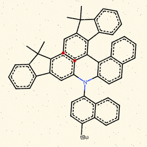 CC(C)(C)c1ccc(N(c2ccc3c(c2)-c2ccccc2C3(C)C)c2ccc3ccccc3c2-c2cccc3c2-c2ccccc2C3(C)C)c2ccccc12